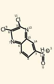 O=[SH](=O)c1ccc2nc(Cl)c(Cl)nc2c1